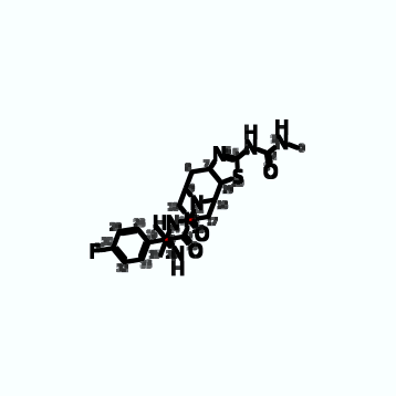 CNC(=O)NC1=NC2CC3CN(C(=O)C(C)C)CC(C2S1)N3C(=O)NC(=N)c1ccc(F)cc1